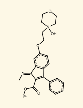 C/N=C1\C(C(=O)OC(C)C)=C(c2ccccc2)c2ccc(OCC[N+]3(O)CCOCC3)cc21